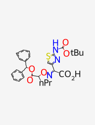 CCCC(ON=C(C(=O)O)c1csc(NC(=O)OC(C)(C)C)n1)C(=O)OC(c1ccccc1)c1ccccc1